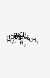 CCCCCC(C)(C)C(=O)NC(C)C(=O)O